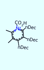 CCCCCCCCCCc1c(C)c(C)[n+](C(=O)O)c(CCCCCCCCCC)c1CCCCCCCCCC